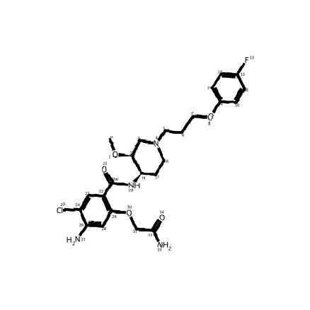 CO[C@H]1CN(CCCOc2ccc(F)cc2)CC[C@H]1NC(=O)c1cc(Cl)c(N)cc1OCC(N)=O